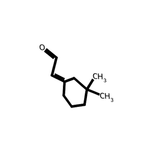 CC1(C)CCCC(=CC=O)C1